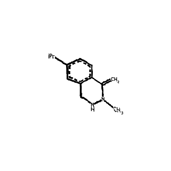 C=C1c2ccc(C(C)C)cc2CNN1C